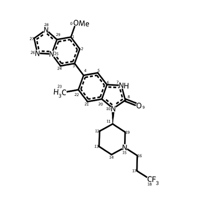 COc1cc(-c2cc3[nH]c(=O)n([C@@H]4CCCN(CCC(F)(F)F)C4)c3cc2C)cn2ncnc12